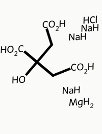 Cl.O=C(O)CC(O)(CC(=O)O)C(=O)O.[MgH2].[NaH].[NaH].[NaH]